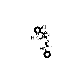 CCn1c(SCC(=O)Nc2ccccc2)nnc1-c1ncccc1Cl